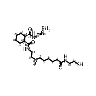 CN(CCCCCC(=O)NCCS)CCNC(=O)[C@H]1CCCC[C@H]1C(=O)NB=NP